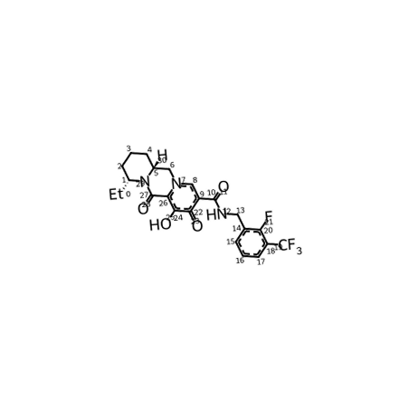 CC[C@@H]1CCC[C@@H]2Cn3cc(C(=O)NCc4cccc(C(F)(F)F)c4F)c(=O)c(O)c3C(=O)N12